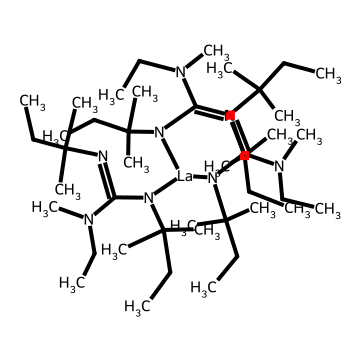 CCN(C)C(=NC(C)(C)CC)[N]([La]([N](C(=NC(C)(C)CC)N(C)CC)C(C)(C)CC)[N](C(=NC(C)(C)CC)N(C)CC)C(C)(C)CC)C(C)(C)CC